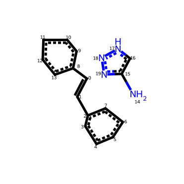 C(=Cc1ccccc1)c1ccccc1.Nc1c[nH]nn1